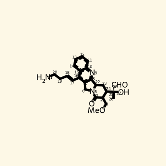 COCC1C(=O)N2Cc3c(nc4ccccc4c3/C=C/CCN)C2CC1[C@](C)(O)C=O